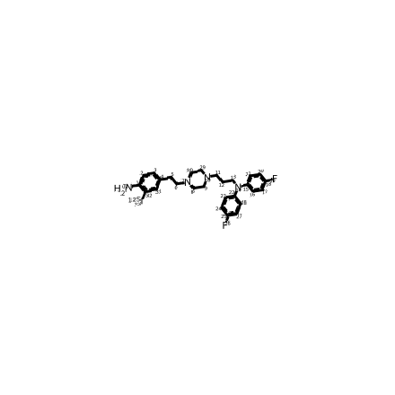 Nc1ccc(CCN2CCN(CCCN(c3ccc(F)cc3)c3ccc(F)cc3)CC2)cc1[125I]